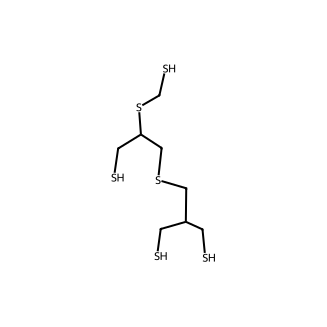 SCSC(CS)CSCC(CS)CS